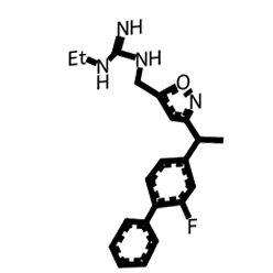 CCNC(=N)NCc1cc(C(C)c2ccc(-c3ccccc3)c(F)c2)no1